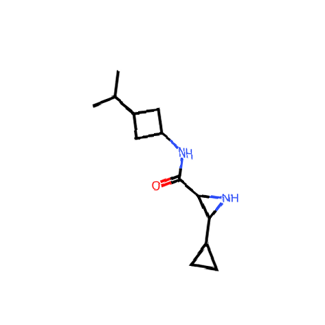 CC(C)C1CC(NC(=O)C2NC2C2CC2)C1